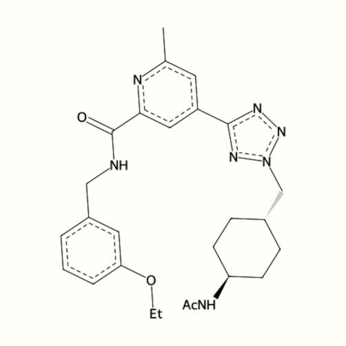 CCOc1cccc(CNC(=O)c2cc(-c3nnn(C[C@H]4CC[C@H](NC(C)=O)CC4)n3)cc(C)n2)c1